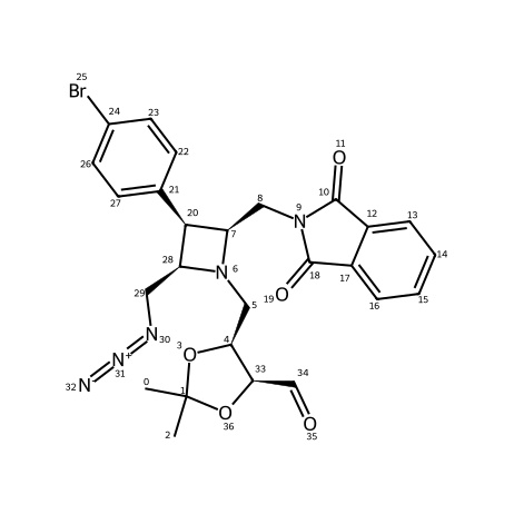 CC1(C)O[C@@H](CN2[C@H](CN3C(=O)c4ccccc4C3=O)[C@H](c3ccc(Br)cc3)[C@@H]2CN=[N+]=[N-])[C@@H](C=O)O1